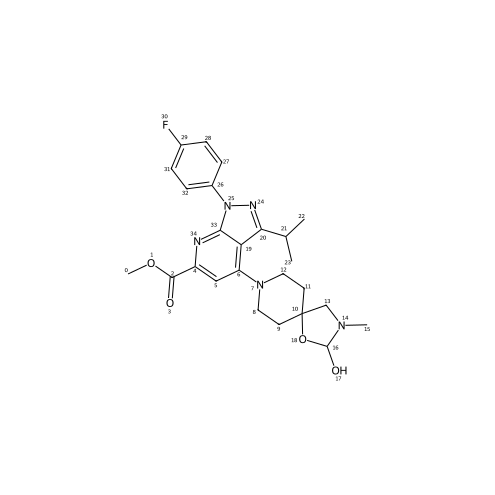 COC(=O)c1cc(N2CCC3(CC2)CN(C)C(O)O3)c2c(C(C)C)nn(-c3ccc(F)cc3)c2n1